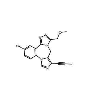 CC#Cc1ncn2c1Cn1c(COC)nnc1-c1cc(Cl)ccc1-2